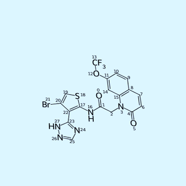 O=C(Cn1c(=O)ccc2ccc(OC(F)(F)F)cc21)Nc1scc(Br)c1-c1ncn[nH]1